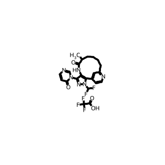 CC1CCCCc2cc(ccn2)-c2c(c(-n3cnccc3=O)nn2C(F)F)NC1=O.O=C(O)C(F)(F)F